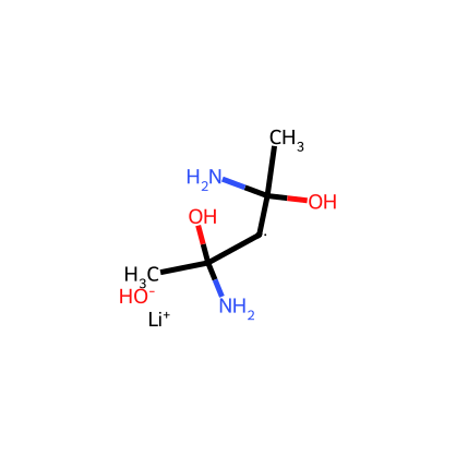 CC(N)(O)[CH]C(C)(N)O.[Li+].[OH-]